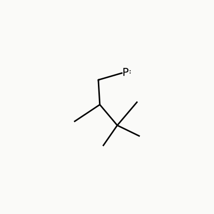 CC(C[P])C(C)(C)C